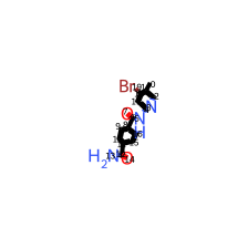 Cc1cnc(NC(=O)c2ccc(C(N)=O)cc2)cc1Br